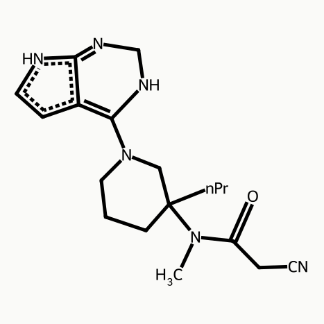 CCCC1(N(C)C(=O)CC#N)CCCN(C2=c3cc[nH]c3=NCN2)C1